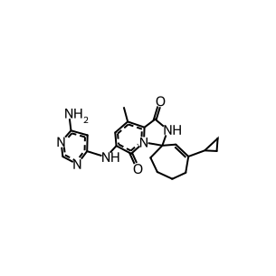 Cc1cc(Nc2cc(N)ncn2)c(=O)n2c1C(=O)NC21C=C(C2CC2)CCCC1